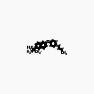 [CH2][C@](C)(N)c1ccc2cc(O[C@H]3CC[C@@H](CCCC)CC3)ccc2c1